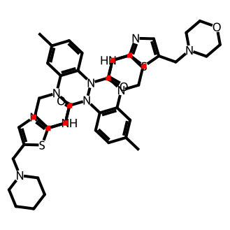 Cc1ccc(N(C(=O)Nc2ncc(CN3CCCCC3)s2)N(C(=O)Nc2ncc(CN3CCOCC3)s2)c2ccc(C)cc2N2CCCCC2)c(N2CCCCC2)c1